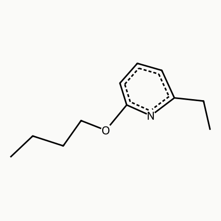 CCCCOc1cccc(CC)n1